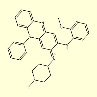 COc1ncccc1Nc1cc2nc3ccccc3n(-c3ccccc3)c-2c/c1=N\C1CCN(C)CC1